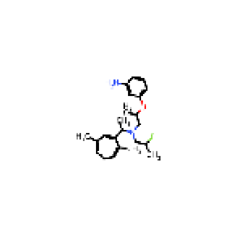 CC1=CCC=C(C)C(C(C)N(CC(C)F)CC(C)Oc2cccc(N)c2)=C1